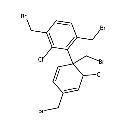 Clc1c(CBr)ccc(CBr)c1C1(CBr)C=CC(CBr)=CC1Cl